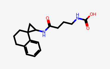 O=C(O)NCCCC(=O)NC1CC12CCCc1ccccc12